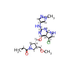 C=CC(=O)N1C[C@H](COC)[C@@H](COc2nc(Nc3cnn(C)c3)nc3[nH]cc(Cl)c23)C1